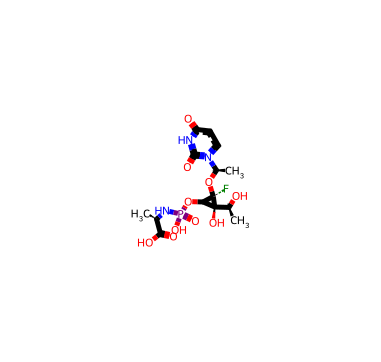 C[C@H](NP(=O)(O)OC1[C@@](O)([C@H](C)O)[C@]1(F)O[C@H](C)n1ccc(=O)[nH]c1=O)C(=O)O